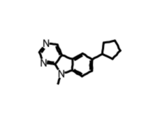 Cn1c2ccc(C3CCCC3)cc2c2cncnc21